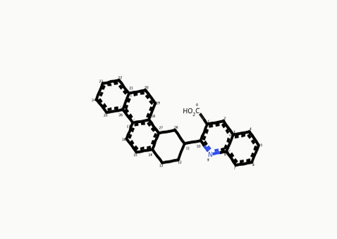 O=C(O)c1cc2ccccc2nc1C1CCc2ccc3c(ccc4ccccc43)c2C1